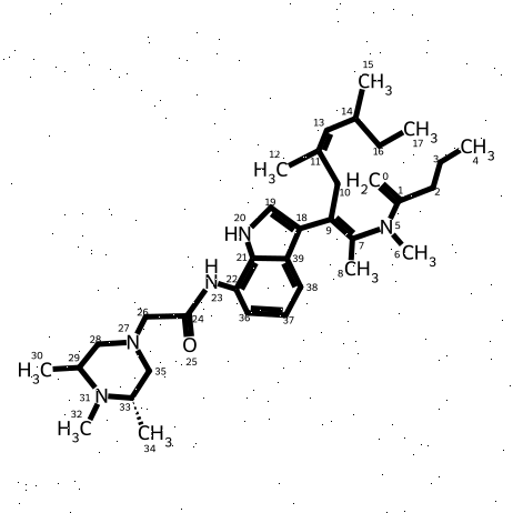 C=C(CCC)N(C)/C(C)=C(\C/C(C)=C\C(C)CC)c1c[nH]c2c(NC(=O)CN3CC(C)N(C)[C@@H](C)C3)cccc12